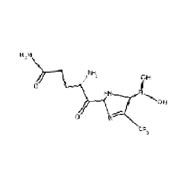 NC(=O)CC[C@H](N)C(=O)C1N=C(C(F)(F)F)C(B(O)O)N1